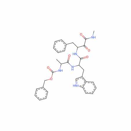 CNC(=O)C(=O)C(Cc1ccccc1)NC(=O)C(Cc1c[nH]c2ccccc12)NC(=O)C(C)NC(=O)OCc1ccccc1